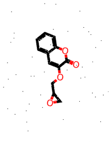 O=c1oc2ccccc2cc1OCC1CO1